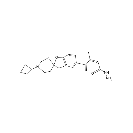 C=C(/C(C)=C\C(=O)NN)c1ccc2c(c1)CC1(CCN(C3CCC3)CC1)O2